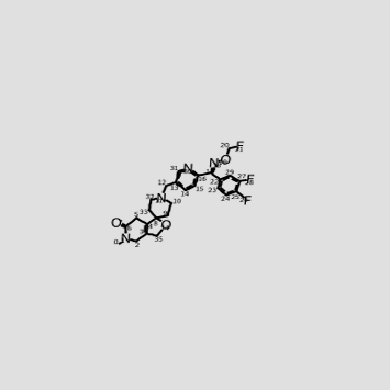 CN1CC2=C(CC1=O)C1(CCN(Cc3ccc(C(=NOCF)c4ccc(F)c(F)c4)nc3)CC1)OC2